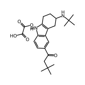 CC(C)(C)CC(=O)c1ccc2[nH]c3c(c2c1)CC(NC(C)(C)C)CC3.O=C(O)C(=O)O